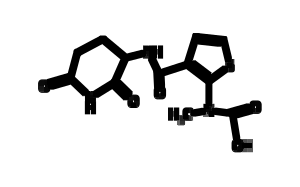 CN(C(=O)O)c1sccc1C(=O)NC1CCC(=O)NC1=O